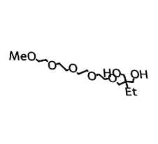 CCC(CO)(CO)COCCOCCOCCOCCOC